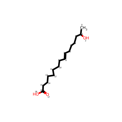 CC(O)CCCCC=CCCCCCCCC(=O)O